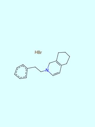 Br.C1=CN(CCc2ccccc2)CC2=C1CCCC2